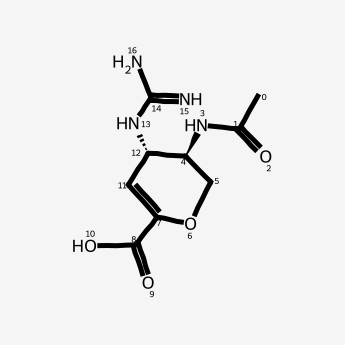 CC(=O)N[C@H]1COC(C(=O)O)=C[C@@H]1NC(=N)N